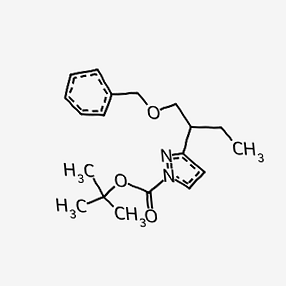 CCC(COCc1ccccc1)c1ccn(C(=O)OC(C)(C)C)n1